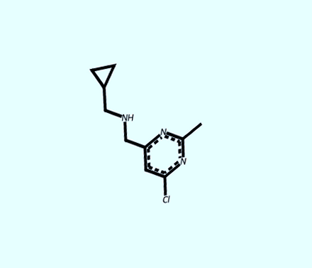 Cc1nc(Cl)cc(CNCC2CC2)n1